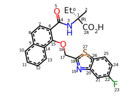 CC[C@@](C)(NC(=O)c1ccc2ccccc2c1OCc1nc2cc(F)ccc2s1)C(=O)O